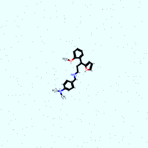 COc1ccccc1C(CCNCc1ccc(N(C)C)cc1)c1ccco1